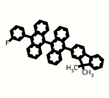 CC1(C)c2ccccc2-c2ccc(-c3c4ccccc4c(-c4c5ccccc5c(-c5cccc(F)c5)c5ccccc45)c4ccccc34)cc21